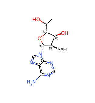 CC(O)[C@H]1O[C@@H](n2cnc3c(N)ncnc32)[C@H]([SeH])[C@@H]1O